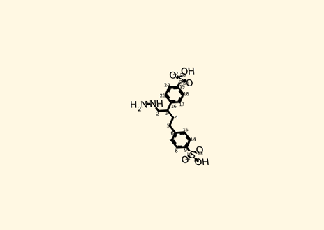 NNCC(CCc1ccc(S(=O)(=O)O)cc1)c1ccc(S(=O)(=O)O)cc1